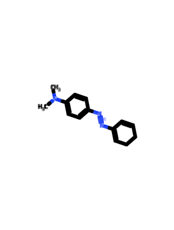 CN(C)c1ccc(/N=N/C2=CCCC=C2)cc1